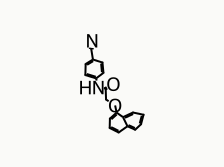 N#Cc1ccc(NC(=O)COc2cccc3ccccc23)cc1